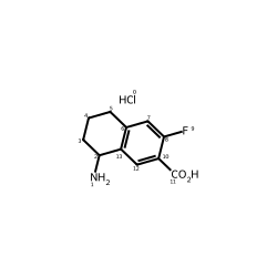 Cl.NC1CCCc2cc(F)c(C(=O)O)cc21